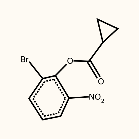 O=C(Oc1c(Br)cccc1[N+](=O)[O-])C1CC1